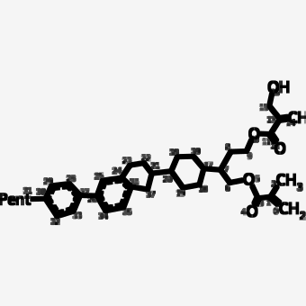 C=C(C)C(=O)OCC(CCOC(=O)C(=C)CO)C1CCC(C2CCc3cc(-c4ccc(CCCCC)cc4)ccc3C2)CC1